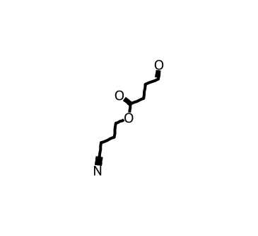 N#CCCCOC(=O)CCC=O